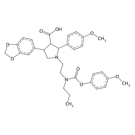 CCCN(CCN1CC(c2ccc3c(c2)OCO3)C(C(=O)O)C1c1ccc(OC)cc1)C(=O)Oc1ccc(OC)cc1